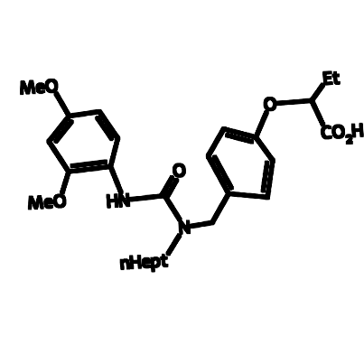 CCCCCCCN(Cc1ccc(OC(CC)C(=O)O)cc1)C(=O)Nc1ccc(OC)cc1OC